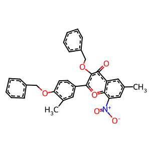 Cc1cc([N+](=O)[O-])c2oc(-c3ccc(OCc4ccccc4)c(C)c3)c(OCc3ccccc3)c(=O)c2c1